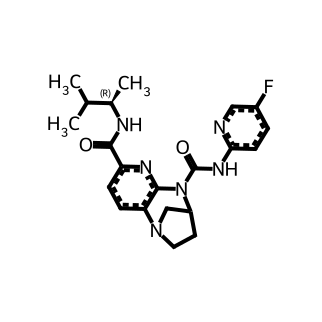 CC(C)[C@@H](C)NC(=O)c1ccc2c(n1)N(C(=O)Nc1ccc(F)cn1)C1CCN2C1